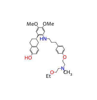 CCOCCN(C)CCOc1ccc(CCCNc2cc(OC)c(OC)cc2[C@@H]2CCc3cc(O)ccc3C2)cc1